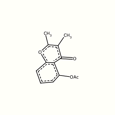 CC(=O)Oc1cccc2oc(C)c(C)c(=O)c12